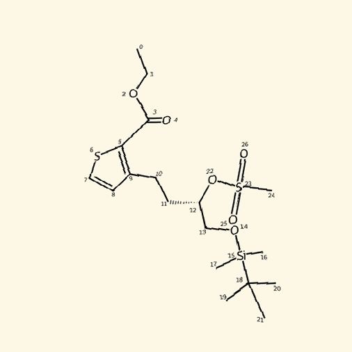 CCOC(=O)c1sccc1CC[C@@H](CO[Si](C)(C)C(C)(C)C)OS(C)(=O)=O